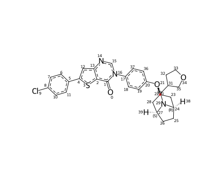 O=c1c2sc(-c3ccc(Cl)cc3)cc2ncn1-c1ccc(O[C@H]2C[C@H]3CC[C@@H](C2)N3CC2CCOC2)cc1